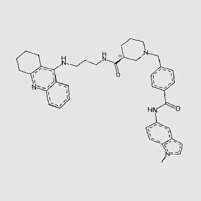 Cn1ccc2cc(NC(=O)c3ccc(CN4CCC[C@H](C(=O)NCCCNc5c6c(nc7ccccc57)CCCC6)C4)cc3)ccc21